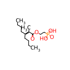 CCCCC(CCCC)=C(C)C(=O)OCCP(=O)(O)O